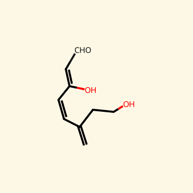 C=C(/C=C\C(O)=C\C=O)CCO